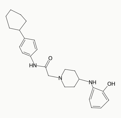 O=C(CN1CCC(Nc2ccccc2O)CC1)Nc1ccc(C2CCCCC2)cc1